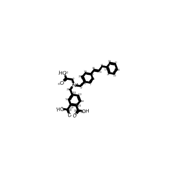 O=C(O)CN(Cc1ccc(C=CCc2ccccc2)cc1)Cc1ccc(C(=O)O)c(C(=O)O)c1